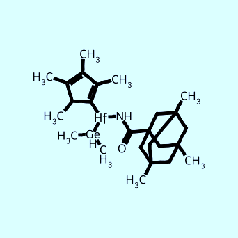 CC1=C(C)C(C)[C]([Hf]([NH]C(=O)C23CC4(C)CC(C)(CC(C)(C4)C2)C3)[GeH]([CH3])[CH3])=C1C